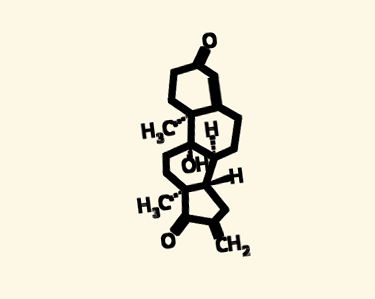 C=C1C[C@H]2[C@@H]3CCC4=CC(=O)CC[C@]4(C)[C@]3(O)CC[C@]2(C)C1=O